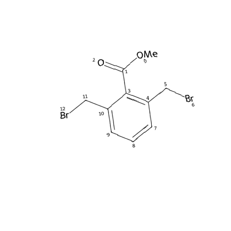 COC(=O)c1c(CBr)cccc1CBr